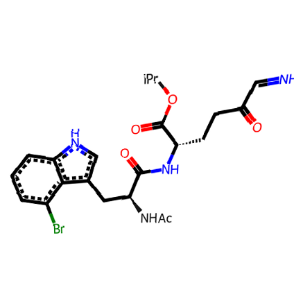 CC(=O)N[C@@H](Cc1c[nH]c2cccc(Br)c12)C(=O)N[C@@H](CCC(=O)C=N)C(=O)OC(C)C